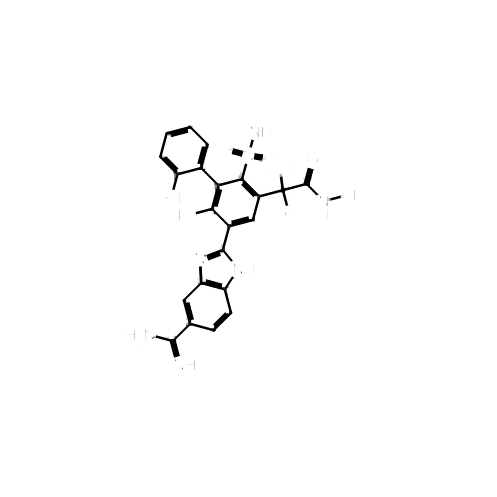 CNC(=O)C(C)(C)c1cc(-c2nc3cc(C(=N)N)ccc3[nH]2)c(O)c(-c2ccccc2O)c1S(N)(=O)=O